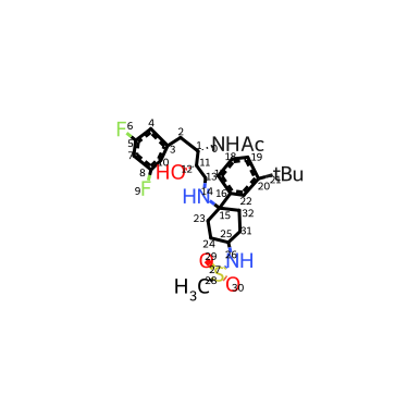 CC(=O)N[C@@H](Cc1cc(F)cc(F)c1)[C@@H](O)CNC1(c2cccc(C(C)(C)C)c2)CCC(NS(C)(=O)=O)CC1